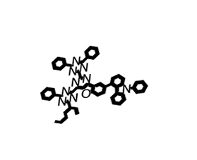 C=C/C(=C\C=C/C)c1nc(-c2ccccc2)nc(-c2nc(-c3nc(-c4ccccc4)nc(-c4ccccc4)n3)nc3c2oc2ccc(-c4cccc5c4c4ccccc4n5-c4ccccc4)cc23)n1